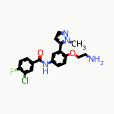 Cn1nccc1-c1cc(NC(=O)c2ccc(F)c(Cl)c2)ccc1OCCN